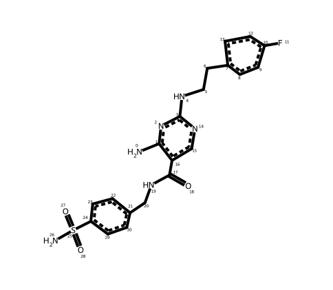 Nc1nc(NCCc2ccc(F)cc2)ncc1C(=O)NCc1ccc(S(N)(=O)=O)cc1